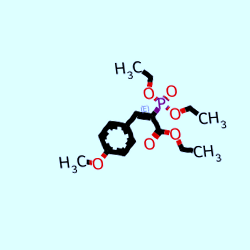 CCOC(=O)/C(=C\c1ccc(OC)cc1)P(=O)(OCC)OCC